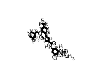 Cn1cc(C(=O)Nc2cc(Cl)cc(NS(C)(=O)=O)c2)cc1-c1ncc(C(F)(F)F)cc1OCc1cncc(F)c1